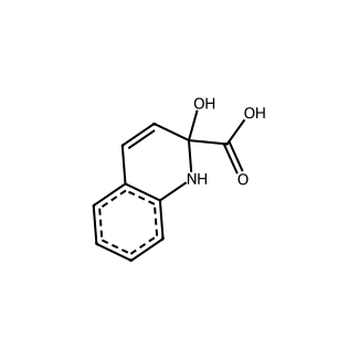 O=C(O)C1(O)C=Cc2ccccc2N1